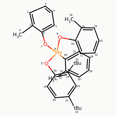 Cc1ccccc1O[PH](Oc1ccccc1C)(Oc1ccc(C(C)(C)C)cc1C(C)(C)C)c1ccccc1C